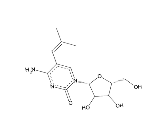 CC(C)=Cc1cn([C@@H]2O[C@H](CO)C(O)C2O)c(=O)nc1N